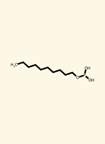 CCCCCCCCCCOP(O)O